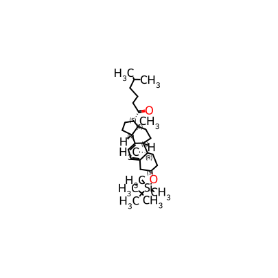 CC(C)CCCC(=O)[C@H]1CC[C@H]2C3=CC=C4C[C@@H](O[Si](C)(C)C(C)(C)C)CC[C@]4(C)[C@H]3CC[C@]12C